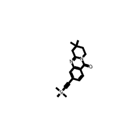 CC1(C)CCn2c(nc3cc(C#C[Si](C)(C)C)ccc3c2=O)C1